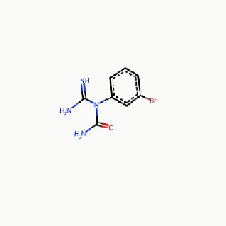 N=C(N)N(C(N)=O)c1cccc(Br)c1